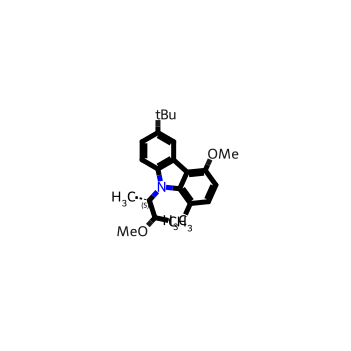 COc1ccc(C)c2c1c1cc(C(C)(C)C)ccc1n2[C@@H](C)C(C)OC